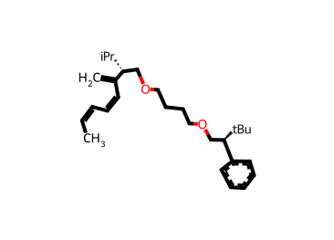 C=C(/C=C\C=C/C)[C@@H](COCCCCOC[C@H](c1ccccc1)C(C)(C)C)C(C)C